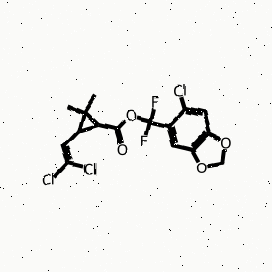 CC1(C)C(C=C(Cl)Cl)C1C(=O)OC(F)(F)c1cc2c(cc1Cl)OCO2